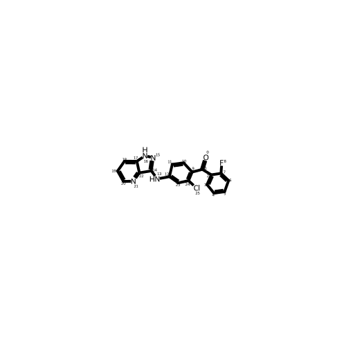 O=C(c1ccccc1F)c1ccc(Nc2n[nH]c3cccnc23)cc1Cl